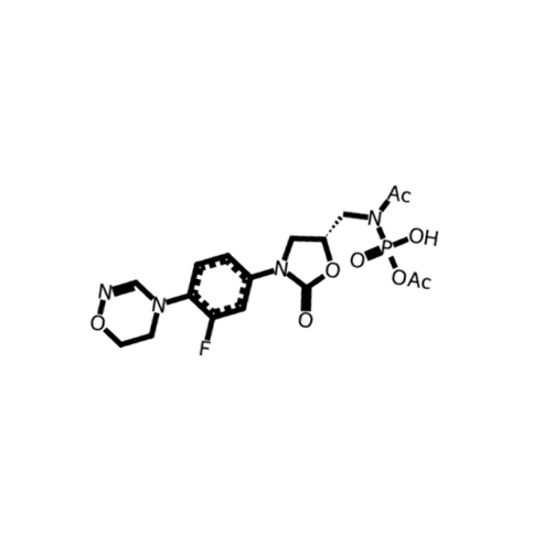 CC(=O)OP(=O)(O)N(C[C@H]1CN(c2ccc(N3C=NOCC3)c(F)c2)C(=O)O1)C(C)=O